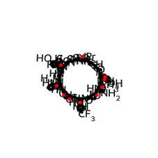 CCCC[C@H]1C(=O)N(C)[C@@H](CCCC)C(=O)N[C@@H](CC(C)C)C(=O)NCCSCC(=O)N[C@@H](Cc2ccc(O)cc2)C(=O)N(C)[C@@H](C)C(=O)N[C@@H](CC(N)=O)C(=O)N2CCCC2C(=O)N[C@@H](CNc2ccc(C(F)(F)F)cn2)C(=O)NCC(=O)N2CCCC2C(=O)N[C@@H](Cc2c[nH]c3ccccc23)C(=O)NC(N)C(=O)N[C@@H](Cc2cn(CC(=O)O)c3ccccc23)C(=O)N1C